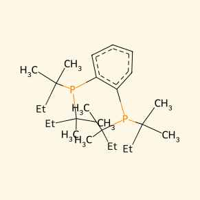 CCC(C)(C)P(c1ccccc1P(C(C)(C)CC)C(C)(C)CC)C(C)(C)CC